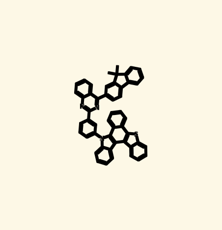 CC1(C)c2ccccc2-c2ccc(-c3nc(-c4cccc(-n5c6ccccc6c6c7c8ccccc8sc7c7ccccc7c65)c4)nc4ccccc34)cc21